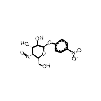 O=N[C@@H]1[C@H](O)[C@@H](O)[C@@H](Oc2ccc([N+](=O)[O-])cc2)O[C@@H]1CO